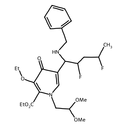 CCOC(=O)c1c(OCC)c(=O)c(C(NCc2ccccc2)C(F)CC(C)F)cn1CC(OC)OC